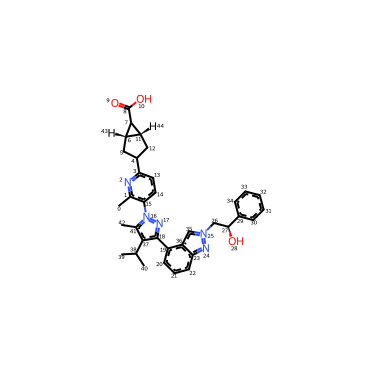 Cc1nc(C2C[C@@H]3C(C(=O)O)[C@@H]3C2)ccc1-n1nc(-c2cccc3nn(C[C@H](O)c4ccccc4)cc23)c(C(C)C)c1C